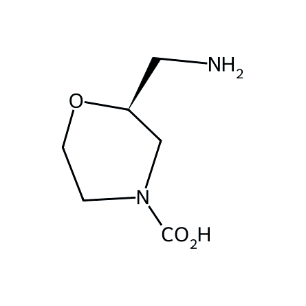 NC[C@H]1CN(C(=O)O)CCO1